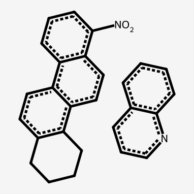 O=[N+]([O-])c1cccc2c1ccc1c3c(ccc12)CCCC3.c1ccc2ncccc2c1